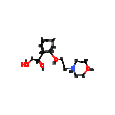 O=C(CO)c1ccccc1OCCN1CCOCC1